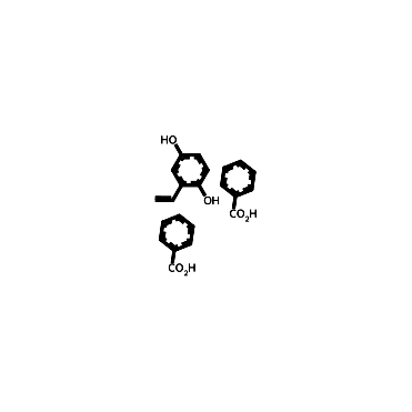 C=Cc1cc(O)ccc1O.O=C(O)c1ccccc1.O=C(O)c1ccccc1